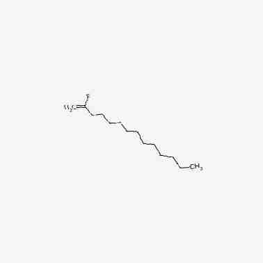 C=C(F)CCCCCCCCCCCC